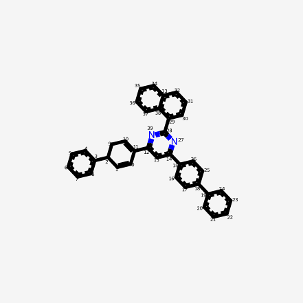 C1=CC(c2ccccc2)CC=C1c1cc(-c2ccc(-c3ccccc3)cc2)nc(-c2cccc3ccccc23)n1